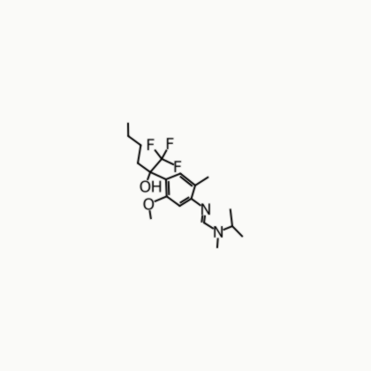 CCCCC(O)(c1cc(C)c(/N=C/N(C)C(C)C)cc1OC)C(F)(F)F